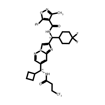 Cc1noc(C(C)C)c1C(=O)N[C@H](c1cn2ncc([C@H](NC(=O)CCC(F)(F)F)C3CCC3)cc2n1)C1CCC(F)(F)CC1